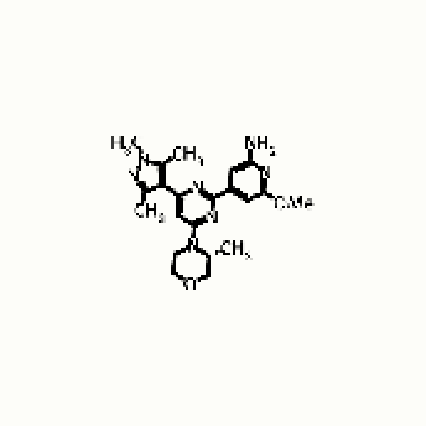 COc1cc(-c2nc(-c3c(C)nn(C)c3C)cc(N3CCOC[C@H]3C)n2)cc(N)n1